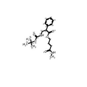 CNC(=O)CCCOC(=O)C(CNC(=O)OC(C)(C)C)c1ccccc1